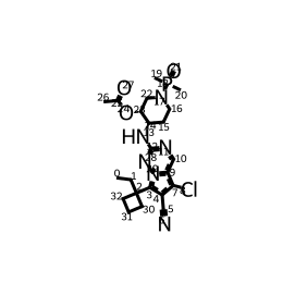 CCC1(c2c(C#N)c(Cl)c3cnc(N[C@@H]4CCN(P(C)(C)=O)C[C@H]4OC(C)=O)nn23)CCC1